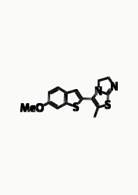 COc1ccc2cc(C3=C(C)SC4=NCCN43)sc2c1